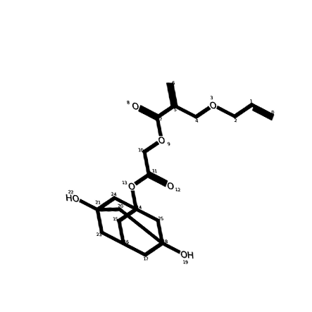 C=CCOCC(=C)C(=O)OCC(=O)OC12CC3CC(O)(CC(O)(C3)C1)C2